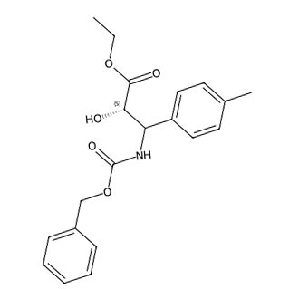 CCOC(=O)[C@@H](O)C(NC(=O)OCc1ccccc1)c1ccc(C)cc1